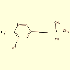 Cc1ncc(C#C[Si](C)(C)C)cc1N